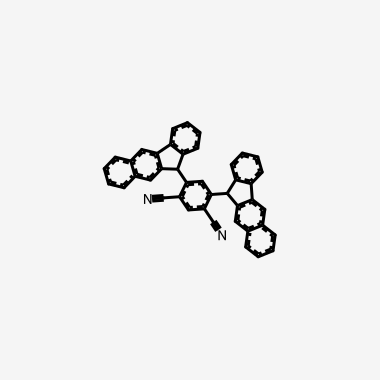 N#Cc1cc(C#N)c(C2c3ccccc3-c3cc4ccccc4cc32)cc1C1c2ccccc2-c2cc3ccccc3cc21